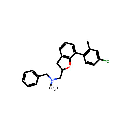 Cc1cc(Cl)ccc1-c1cccc2c1OC(CN(Cc1ccccc1)C(=O)O)C2